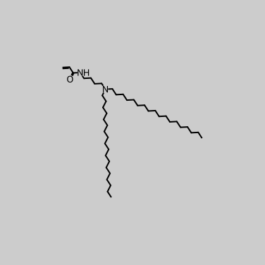 C=CC(=O)NCCCCN(CCCCCCCCCCCCCCCCCC)CCCCCCCCCCCCCCCCCC